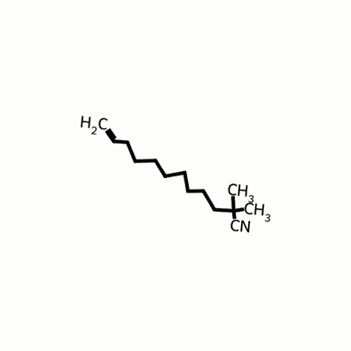 C=CCCCCCCCCC(C)(C)C#N